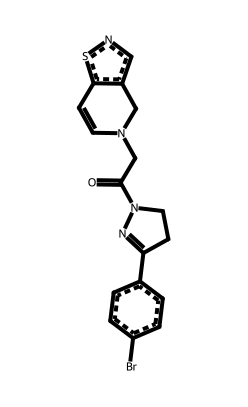 O=C(CN1C=Cc2sncc2C1)N1CCC(c2ccc(Br)cc2)=N1